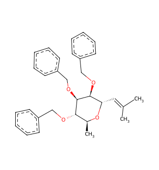 CC(C)=C[C@@H]1O[C@@H](C)[C@H](OCc2ccccc2)[C@@H](OCc2ccccc2)[C@H]1OCc1ccccc1